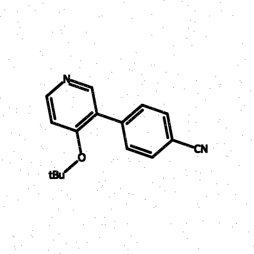 CC(C)(C)Oc1ccncc1-c1ccc(C#N)cc1